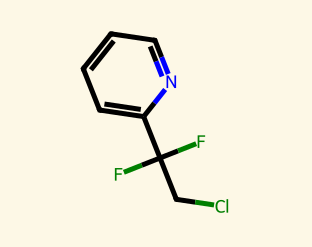 FC(F)(CCl)c1ccccn1